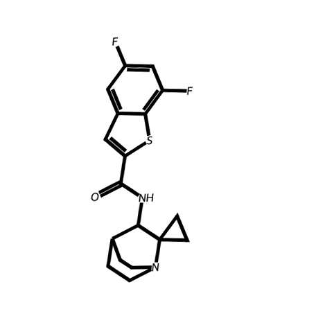 O=C(NC1C2CCN(CC2)C12CC2)c1cc2cc(F)cc(F)c2s1